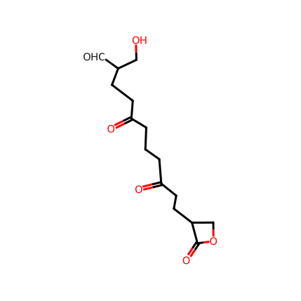 O=CC(CO)CCC(=O)CCCC(=O)CCC1COC1=O